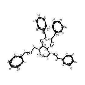 c1ccc(COC[C@@H]2NC[C@H](OCc3ccccc3)[C@@H](OCc3ccccc3)[C@@H]2OCc2ccccc2)cc1